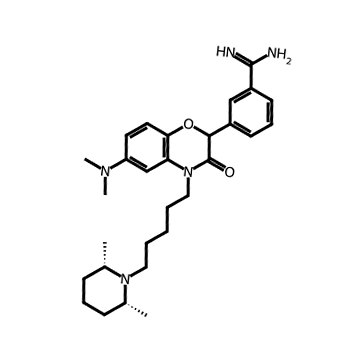 C[C@@H]1CCC[C@H](C)N1CCCCCN1C(=O)C(c2cccc(C(=N)N)c2)Oc2ccc(N(C)C)cc21